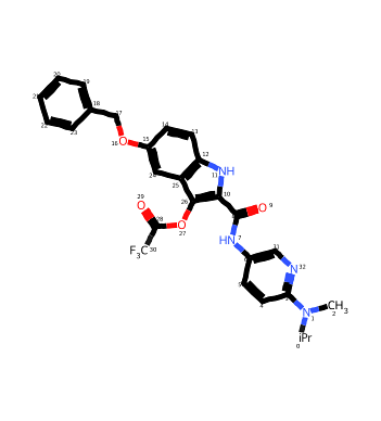 CC(C)N(C)c1ccc(NC(=O)c2[nH]c3ccc(OCc4ccccc4)cc3c2OC(=O)C(F)(F)F)cn1